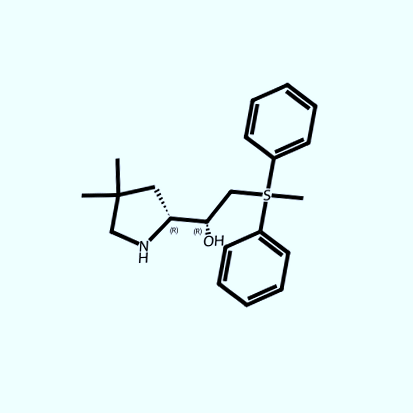 CC1(C)CN[C@@H]([C@@H](O)CS(C)(c2ccccc2)c2ccccc2)C1